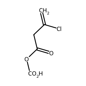 C=C(Cl)CC(=O)OC(=O)O